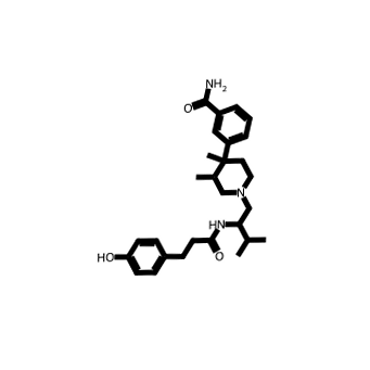 CC(C)C(CN1CCC(C)(c2cccc(C(N)=O)c2)C(C)C1)NC(=O)CCc1ccc(O)cc1